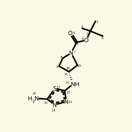 CC(C)(C)OC(=O)N1CC[C@@H](Nc2nnc(N)s2)C1